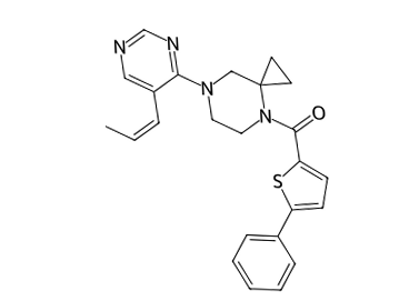 C/C=C\c1cncnc1N1CCN(C(=O)c2ccc(-c3ccccc3)s2)C2(CC2)C1